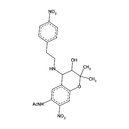 CC(=O)Nc1cc2c(cc1[N+](=O)[O-])OC(C)(C)C(O)C2NCCc1ccc([N+](=O)[O-])cc1